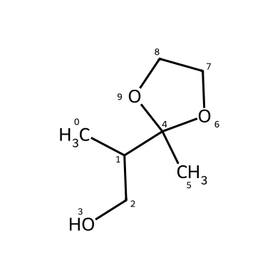 CC(CO)C1(C)OCCO1